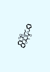 CCCC[C@@H](C(=O)O)N(C(=O)[C@H](C)NC(=O)OCc1ccccc1)c1cccc2ccccc12